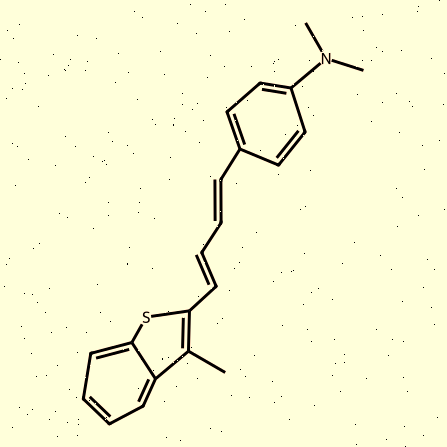 Cc1c(/C=C/C=C/c2ccc(N(C)C)cc2)sc2ccccc12